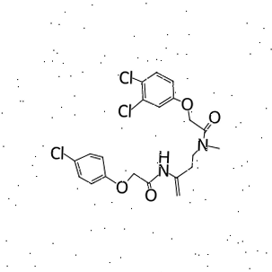 C=C(CCN(C)C(=O)COc1ccc(Cl)c(Cl)c1)NC(=O)COc1ccc(Cl)cc1